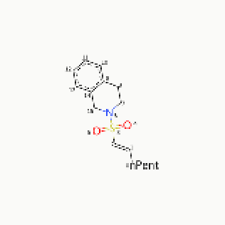 CCCCCC=CS(=O)(=O)N1CCc2ccccc2C1